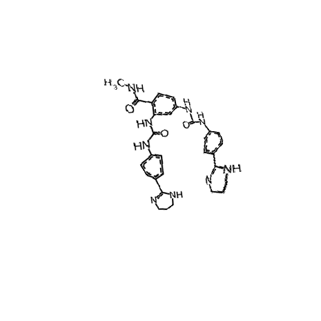 CNC(=O)c1ccc(NC(=O)Nc2ccc(C3=NCCCN3)cc2)cc1NC(=O)Nc1ccc(C2=NCCCN2)cc1